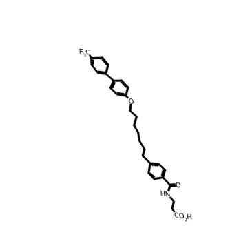 O=C(O)CCNC(=O)c1ccc(CCCCCCCOc2ccc(-c3ccc(C(F)(F)F)cc3)cc2)cc1